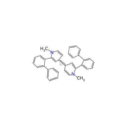 CN1C=C/C(=C2/C=CN(C)C(c3ccccc3-c3ccccc3)=C2)C=C1c1ccccc1-c1ccccc1